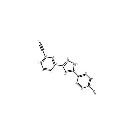 N#Cc1cc(-c2n[nH]c(-c3cc[n+]([O-])cc3)n2)ccn1